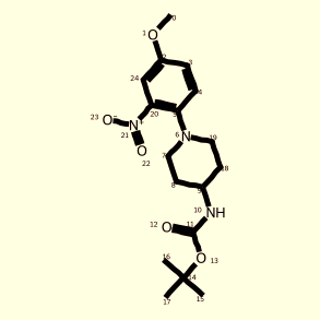 COc1ccc(N2CCC(NC(=O)OC(C)(C)C)CC2)c([N+](=O)[O-])c1